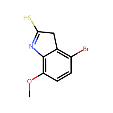 COc1ccc(Br)c2c1N=C(S)C2